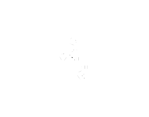 Cc1cnccc1CCCNN1C(=O)C(Cc2ccccc2)c2ccccc21